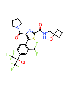 CC1CCCN1C(=O)c1nc(C(=O)NCC2(O)CCC2)sc1-c1ccc(C(O)(C(F)(F)F)C(F)(F)F)cc1C(F)F